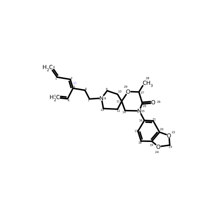 C=C/C=C(\C=C)CCN1CCC2(CC1)CN(c1ccc3c(c1)OCO3)C(=O)C(C)O2